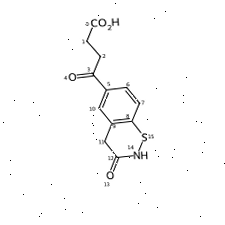 O=C(O)CCC(=O)c1ccc2c(c1)CC(=O)NS2